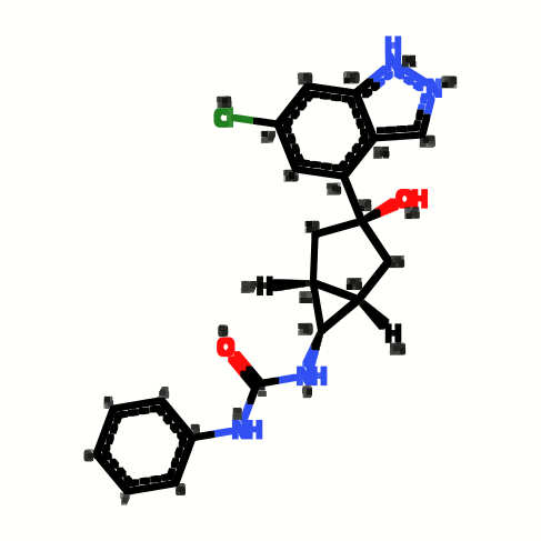 O=C(Nc1ccccc1)N[C@H]1[C@@H]2C[C@](O)(c3cc(Cl)cc4[nH]ncc34)C[C@@H]21